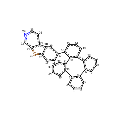 c1ccc2c(c1)-c1ccccc1-c1cccc(-c3ccc4sc5cnccc5c4c3)c1-c1ccccc1-2